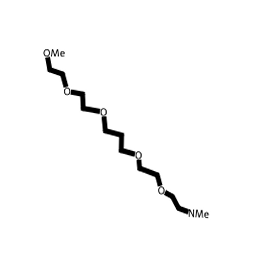 CNCCOCCOCCCOCCOCCOC